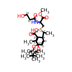 COC(=O)C(CSC(C)C1C=CC(OC)(O[Si](C)(C)C(C)(C)C)C(C)=C1C(=O)O)NC(=O)CCO